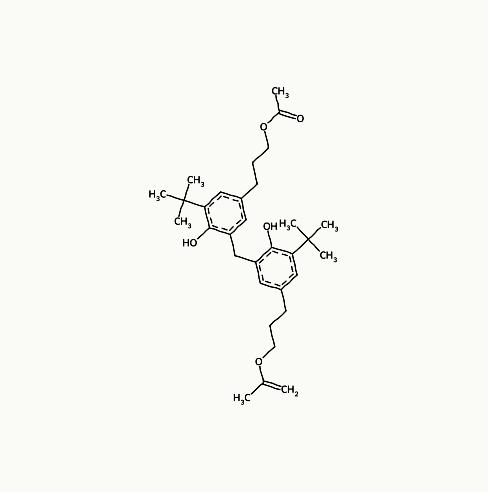 C=C(C)OCCCc1cc(Cc2cc(CCCOC(C)=O)cc(C(C)(C)C)c2O)c(O)c(C(C)(C)C)c1